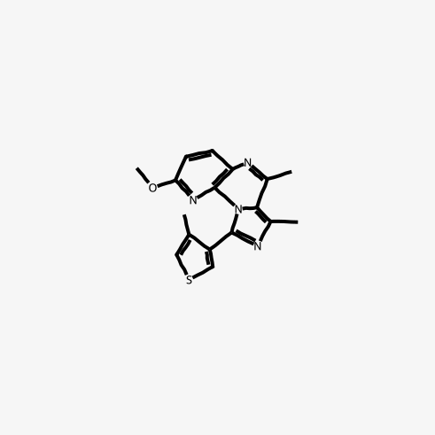 COc1ccc2nc(C)c3c(C)nc(-c4cscc4C)n3c2n1